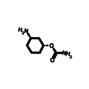 NC(=O)O[C@@H]1CCC[C@@H](N)C1